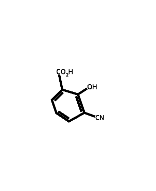 N#Cc1cccc(C(=O)O)c1O